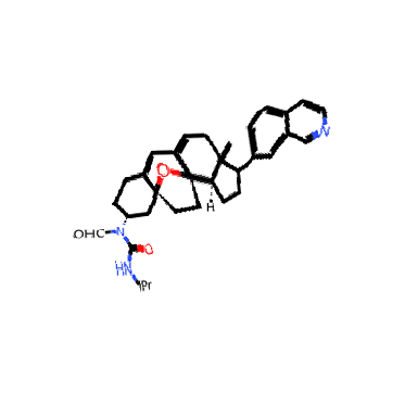 CC(C)NC(=O)N(C=O)[C@@H]1CCC2=CC3=CCC4(C)C(c5ccc6ccncc6c5)CC[C@H]4[C@@]34CC[C@]2(C1)O4